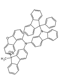 CC1(C)c2ccccc2-c2ccc(N(c3ccc4c5ccccc5n(C5(c6ccccc6)c6ccccc6-c6ccccc65)c4c3)c3cccc4oc5ccccc5c34)cc21